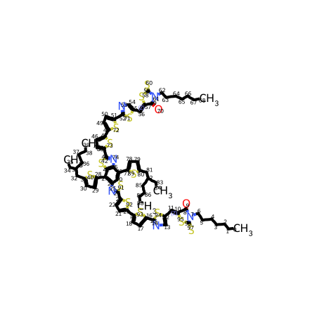 CCCCCCCN1C(=O)/C(=C/c2cnc(-c3ccc(-c4ccc(-c5nc6c(-c7ccc(CC(CC)CCCC)s7)c7sc(-c8ccc(-c9ccc(-c%10ncc(/C=C%11\SC(=S)N(CCCCCCC)C%11=O)s%10)s9)s8)nc7c(-c7ccc(CC(CC)CCCC)s7)c6s5)s4)s3)s2)SC1=S